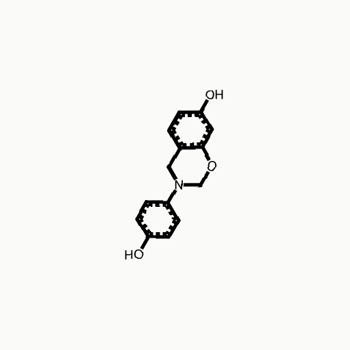 Oc1ccc(N2COc3cc(O)ccc3C2)cc1